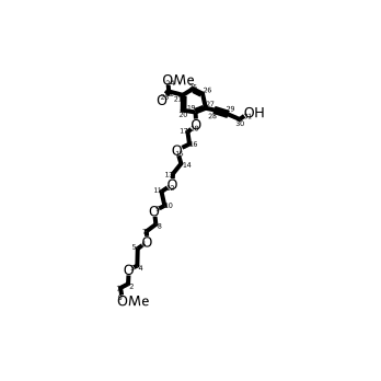 COCCOCCOCCOCCOCCOCCOc1cc(C(=O)OC)ccc1C#CCO